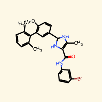 COc1ccc(C2NC(C)=C(C(=O)Nc3cccc(Br)c3)N2)cc1-c1c(C)cccc1C